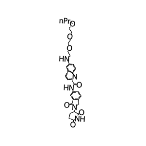 CCCOCCOCCOCCNc1ccc2nc(C(=O)Nc3ccc4c(c3)C(=O)N(C3CCC(=O)NC3=O)C4)ccc2c1